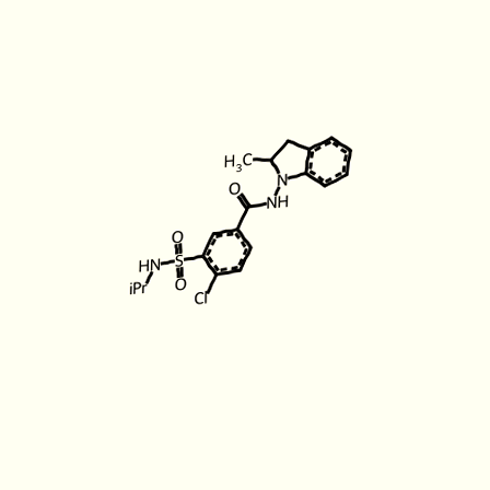 CC(C)NS(=O)(=O)c1cc(C(=O)NN2c3ccccc3CC2C)ccc1Cl